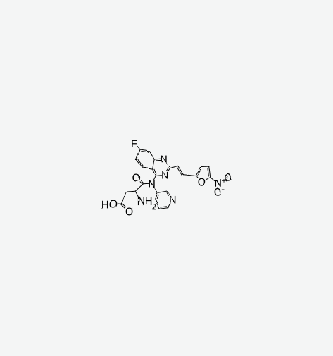 NC(CC(=O)O)C(=O)N(c1cccnc1)c1nc(/C=C/c2ccc([N+](=O)[O-])o2)nc2cc(F)ccc12